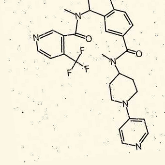 CN(C(=O)c1ccc2c(c1)C(N(C)C(=O)c1cnccc1C(F)(F)F)CC2)C1CCN(c2ccncc2)CC1